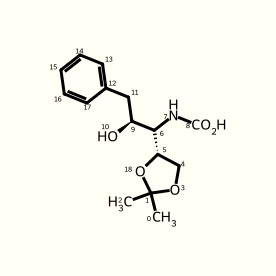 CC1(C)OC[C@@H](C(NC(=O)O)[C@@H](O)Cc2ccccc2)O1